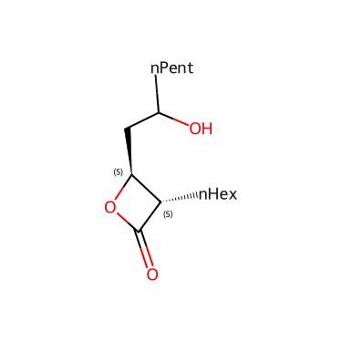 CCCCCC[C@@H]1C(=O)O[C@H]1CC(O)CCCCC